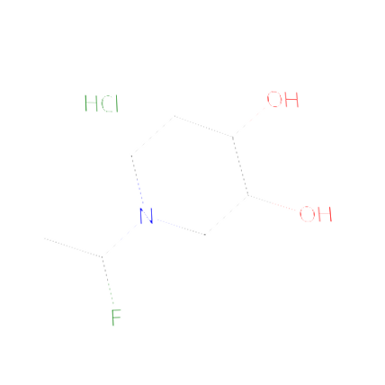 CC(F)N1CCC(O)C(O)C1.Cl